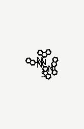 c1ccc2cc(-c3nc(-c4cc(-n5c6ccccc6c6cc7ccccc7cc65)c5c(c4)sc4ccccc45)nc(-c4cc5ccccc5c5ccccc45)n3)ccc2c1